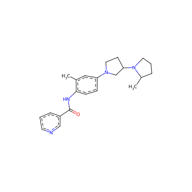 Cc1cc(N2CCC(N3CCCC3C)C2)ccc1NC(=O)c1cccnc1